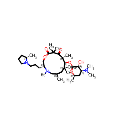 CCN1C[C@H](C)C[C@@](C)(OC)[C@H](O[C@@H]2O[C@H](C)C[C@H](N(C)C)[C@H]2O)[C@@H](C)C(=O)C(C)(C)C(=O)OC[C@H]1CCCN1CCC[C@@H]1C